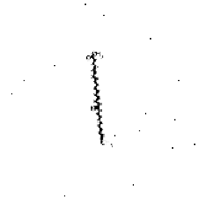 CCCCCCCCCCCC(=O)CCCCCCCCCCCCCCCC(C)=O